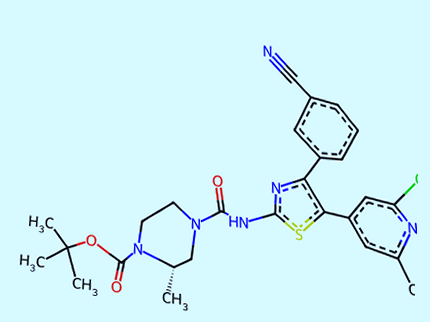 Cc1cc(-c2sc(NC(=O)N3CCN(C(=O)OC(C)(C)C)[C@@H](C)C3)nc2-c2cccc(C#N)c2)cc(Cl)n1